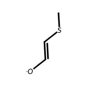 CSC=C[O]